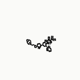 CCNC(=O)Nc1nc2cc(-c3ccc(OCCN4CCOCC4)nc3)cc(-c3ncccn3)c2[nH]1